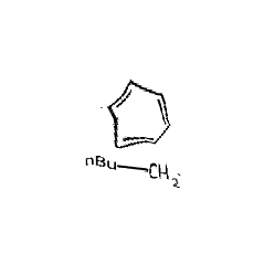 [CH2]CCCC.[c]1ccccc1